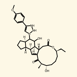 CC[C@H]1CCC[C@H](O)[C@@H](C)C(=O)C2=C[C@H]3[C@@H]4CCC[C@H]4C(N4C=C(c5ccc(OC)cc5)NN4)C(O)[C@H]3[C@@H]2CC(=O)O1